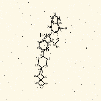 Cc1cc(-c2[nH]c3ccc(C4CCC(N5CC6(COC6)C5)CC4)nc3c2C(C)C)cn2ncnc12